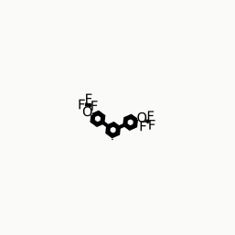 FC(F)(F)Oc1ccc(-c2c[c]cc(-c3ccc(OC(F)(F)F)cc3)c2)cc1